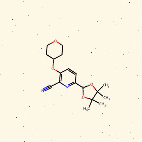 CC1(C)OB(c2ccc(OC3CCOCC3)c(C#N)n2)OC1(C)C